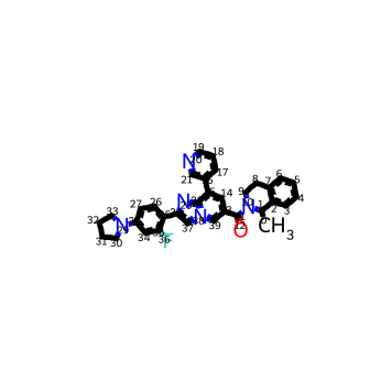 CC1c2ccccc2CCN1C(=O)c1cc(-c2cccnc2)c2nc(-c3ccc(N4CCCC4)cc3F)cn2c1